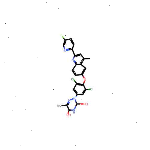 Cc1cc(-c2ccc(F)cn2)nc2ccc(Oc3c(Cl)cc(N4N=C(C#N)C(O)NC4O)cc3Cl)cc12